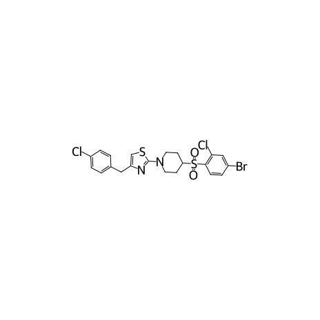 O=S(=O)(c1ccc(Br)cc1Cl)C1CCN(c2nc(Cc3ccc(Cl)cc3)cs2)CC1